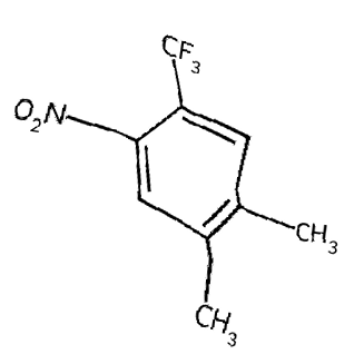 Cc1cc([N+](=O)[O-])c(C(F)(F)F)cc1C